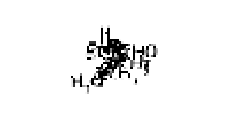 CCNC(=O)c1nccc(C=O)c1CN(C)C(C)c1ccc(OCC(C)(F)F)c(C)c1